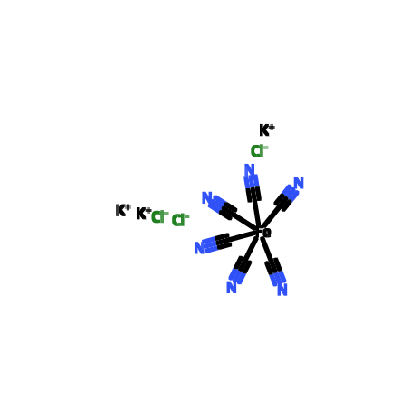 N#[C][Fe]([C]#N)([C]#N)([C]#N)([C]#N)[C]#N.[Cl-].[Cl-].[Cl-].[K+].[K+].[K+]